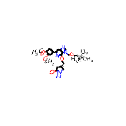 COc1ccc(-c2cc3ncn(COCC[Si](C)(C)C)c3c(OCC[C@H]3CNC(=O)C3)n2)cc1OC